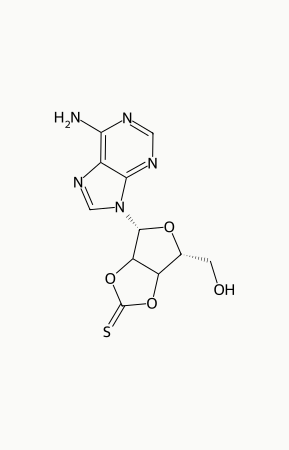 Nc1ncnc2c1ncn2[C@@H]1O[C@H](CO)C2OC(=S)OC21